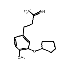 COc1ccc(CCC(=N)N)cc1OC1CCCC1